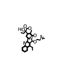 CCc1c2c(nc3ccccc13)-c1cc3c(c(=O)n1C2OCCN(C)C)COC(=O)[C@]3(O)CC